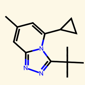 Cc1cc(C2CC2)n2c(C(C)(C)C)nnc2c1